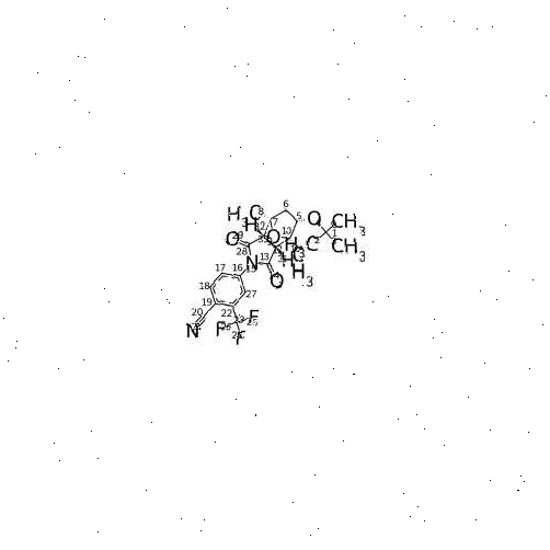 CC(C)(C)O[C@H]1C[C@@]2(C)O[C@]1(C)[C@@H]1C(=O)N(c3ccc(C#N)c(C(F)(F)F)c3)C(=O)[C@@H]12